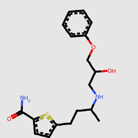 CC(CCc1ccc(C(N)=O)s1)NCC(O)COc1ccccc1